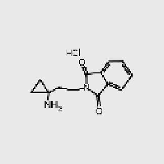 Cl.NC1(CCN2C(=O)c3ccccc3C2=O)CC1